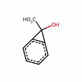 O=C(O)C1(O)c2ccccc21